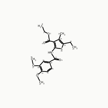 CCOC(=O)c1c(NC(=O)c2ccc(OC)c(OC)c2)sc(CC)c1C